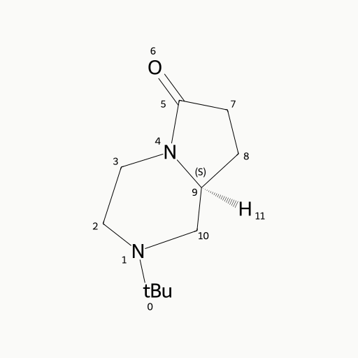 CC(C)(C)N1CCN2C(=O)CC[C@H]2C1